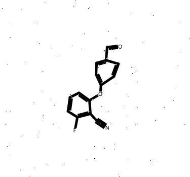 N#Cc1c(F)cccc1Oc1ccc(C=O)cc1